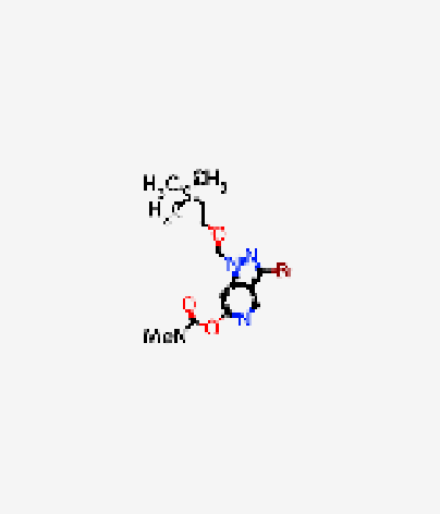 CNC(=O)Oc1cc2c(cn1)c(Br)nn2COCC[Si](C)(C)C